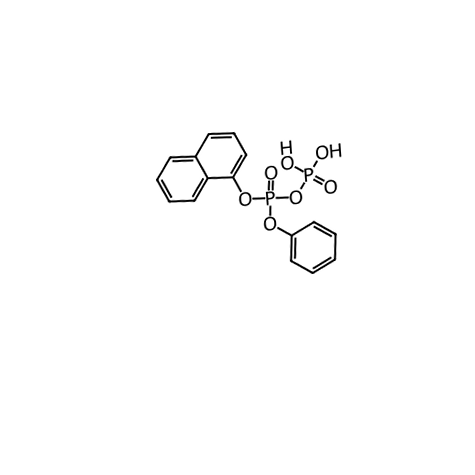 O=P(O)(O)OP(=O)(Oc1ccccc1)Oc1cccc2ccccc12